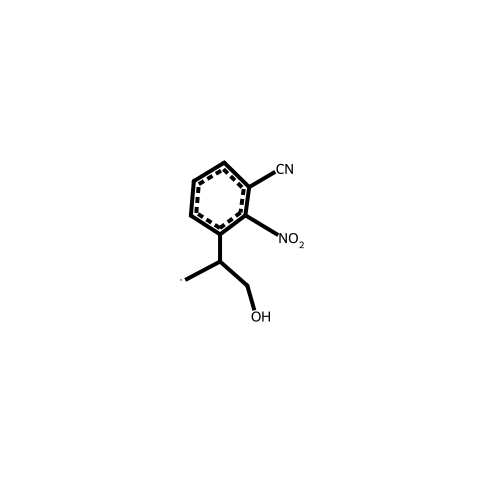 [CH2]C(CO)c1cccc(C#N)c1[N+](=O)[O-]